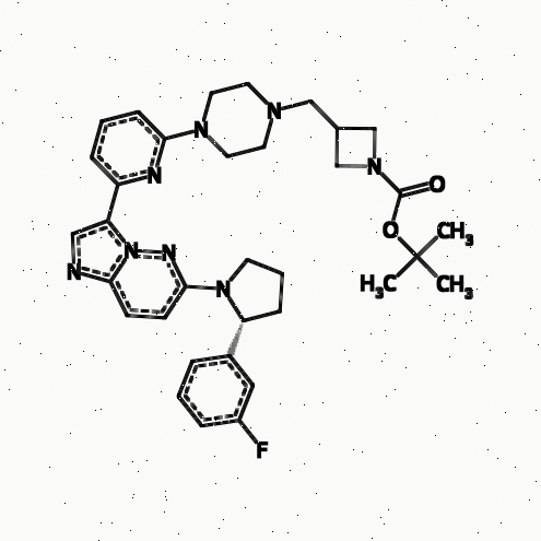 CC(C)(C)OC(=O)N1CC(CN2CCN(c3cccc(-c4cnc5ccc(N6CCC[C@@H]6c6cccc(F)c6)nn45)n3)CC2)C1